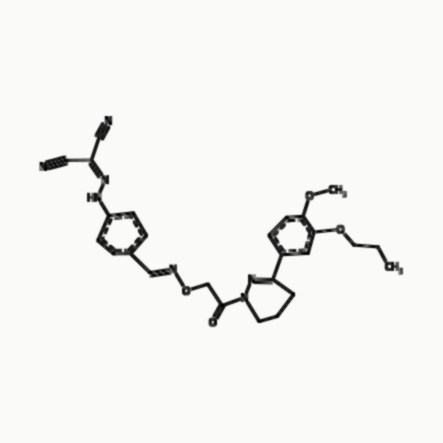 CCCOc1cc(C2=NN(C(=O)CO/N=C/c3ccc(NN=C(C#N)C#N)cc3)CCC2)ccc1OC